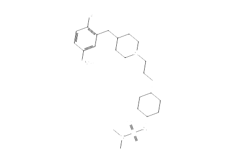 COc1ccc(Br)c(CC2CCN(CCC[C@H]3CC[C@@H](NS(=O)(=O)N(C)C)CC3)CC2)c1